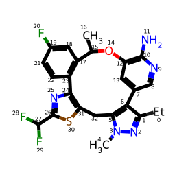 CCc1nn(C)c2c1-c1cnc(N)c(c1)OC(C)c1cc(F)ccc1-c1nc(C(F)F)sc1C2